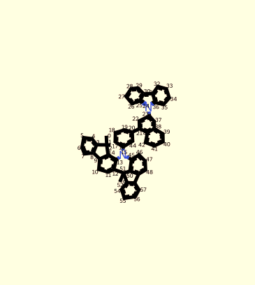 CC1(C)c2ccccc2-c2ccc3c(c21)N(c1cccc(-c2cc(-n4c5ccccc5c5ccccc54)cc4ccccc24)c1)c1cccc2c1C3(C)c1ccccc1-2